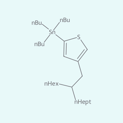 CCCCCCCC(CCCCCC)Cc1cs[c]([Sn]([CH2]CCC)([CH2]CCC)[CH2]CCC)c1